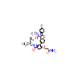 CNC(=O)C1c2cc(-c3cc(C(=O)NCC(C)C)ccc3OCCC(N)=O)ccc2OC1c1ccc(F)cc1